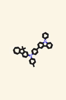 Cc1ccc(N(c2ccc(-c3ccc4c(c3)c3ccccc3n4-c3ccccc3)cc2)c2ccc3c(c2)C(C)(C)C2=C3C=C=CC=C2)cc1